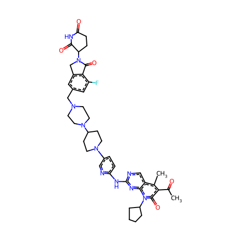 CC(=O)c1c(C)c2cnc(Nc3ccc(N4CCC(N5CCN(Cc6cc(F)c7c(c6)CN(C6CCC(=O)NC6=O)C7=O)CC5)CC4)cn3)nc2n(C2CCCC2)c1=O